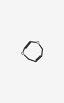 C1=CCOC=COC1